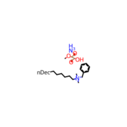 CCCCCCCCCCCCCCCC[N+](C)(C)Cc1ccccc1.COS(=O)(=O)O.N